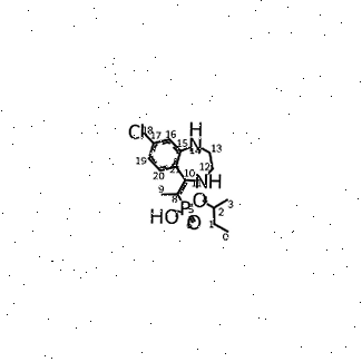 CCC(C)OP(=O)(O)C(C)=C1NCCNc2cc(Cl)ccc21